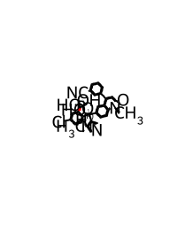 Cn1cncc1[C@@](O[PH](O)(O)O)(c1ccc(Cl)cc1)c1ccc2c(c1)c(-c1cccc(C#N)c1)cc(=O)n2C